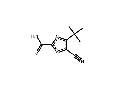 CC(C)(C)c1nc(C(N)=O)sc1C#N